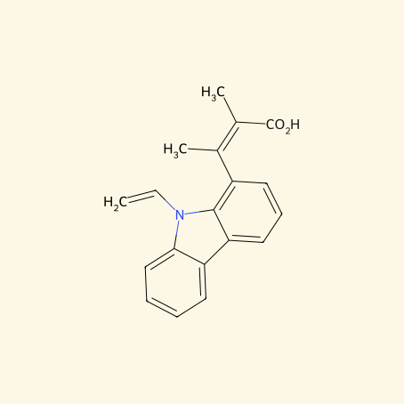 C=Cn1c2ccccc2c2cccc(C(C)=C(C)C(=O)O)c21